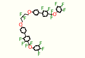 Fc1cc(OC(F)(F)c2ccc(-c3ccc(OCCC(F)(F)CCOc4ccc(-c5ccc(C(F)(F)Oc6cc(F)c(F)c(F)c6)c(F)c5F)cc4)cc3)c(F)c2F)cc(F)c1F